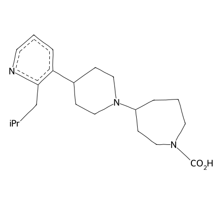 CC(C)Cc1ncccc1C1CCN(C2CCCN(C(=O)O)CC2)CC1